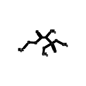 COOC(=O)C(C)P(=O)(OC)OC